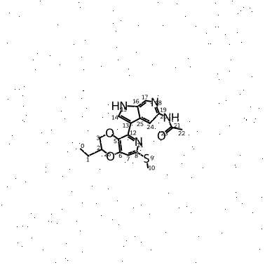 CCC1COc2c(cc(SC)nc2-c2c[nH]c3cnc(NC(C)=O)cc23)O1